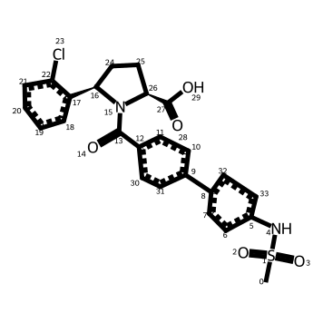 CS(=O)(=O)Nc1ccc(-c2ccc(C(=O)N3[C@@H](c4ccccc4Cl)CC[C@H]3C(=O)O)cc2)cc1